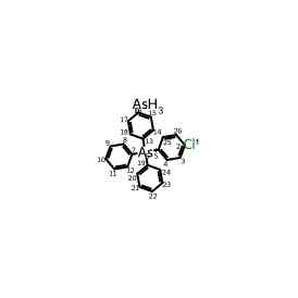 [AsH3].[Cl-].c1ccc([As+](c2ccccc2)(c2ccccc2)c2ccccc2)cc1